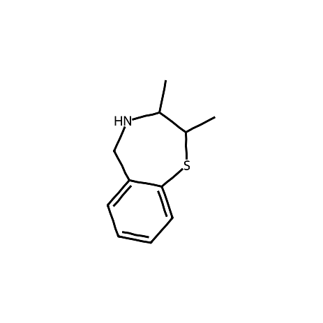 CC1NCc2ccccc2SC1C